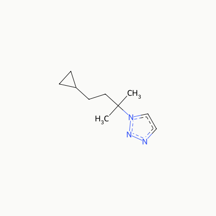 CC(C)(CCC1CC1)n1ccnn1